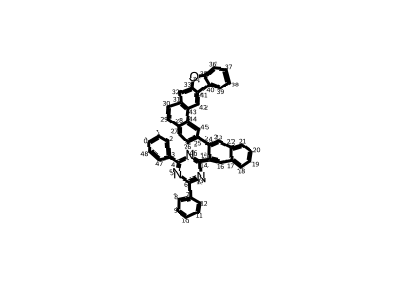 c1ccc(-c2nc(-c3ccccc3)nc(-c3cc4ccccc4cc3-c3ccc4ccc5cc6oc7ccccc7c6cc5c4c3)n2)cc1